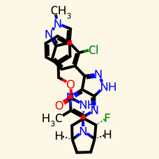 Cc1nc2c(-c3ccc4nn(C)cc4c3Cl)n[nH]c2nc1N1[C@H]2CC[C@@H]1[C@@H](F)[C@@H](NC(=O)OCc1ccccc1)C2